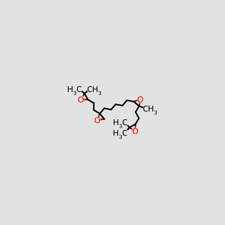 CC1(C)OC1CCC1(CCCCCC2OC2(C)CCC2OC2(C)C)CO1